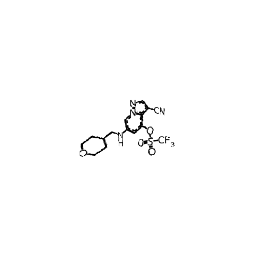 N#Cc1cnn2cc(NCC3CCOCC3)cc(OS(=O)(=O)C(F)(F)F)c12